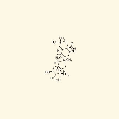 CC1(C)CC[C@]2(C(=O)O)[C@H](O)C[C@]3(C)C(=CC[C@@H]4[C@@]5(C)C[C@H](O)[C@H](O)[C@@](C)(CO)[C@@H]5CC[C@]43C)[C@@H]2C1